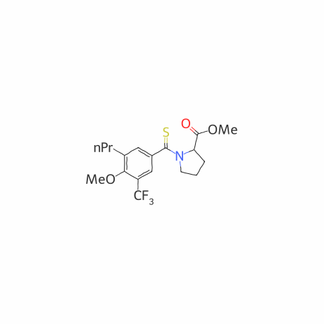 CCCc1cc(C(=S)N2CCCC2C(=O)OC)cc(C(F)(F)F)c1OC